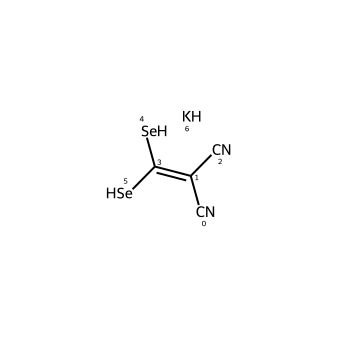 N#CC(C#N)=C([SeH])[SeH].[KH]